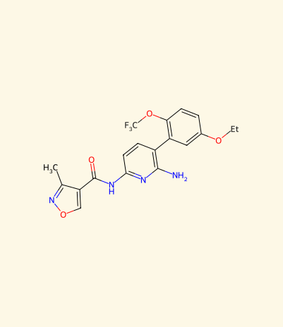 CCOc1ccc(OC(F)(F)F)c(-c2ccc(NC(=O)c3conc3C)nc2N)c1